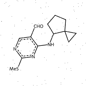 CSc1ncc(C=O)c(NC2CCCC23CC3)n1